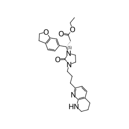 CCOC(=O)C[C@@H](c1ccc2c(c1)OCC2)N1CCN(CCCc2ccc3c(n2)NCCC3)C1=O